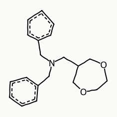 c1ccc(CN(Cc2ccccc2)CC2COCCOC2)cc1